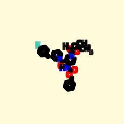 CC(C)(C)OC(=O)N1CC[C@@H](NC(=O)OCc2ccccc2)[C@@H](C(=O)N2CCC[C@@H](Cc3ccc(F)cc3)C2)C1